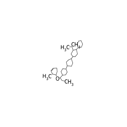 CCC(OC1CCC=C[C@H]1C)C1CCC(C2CCC(C3CCC(C4CCCCC4)C(C(C)C)C3)CC2)CC1